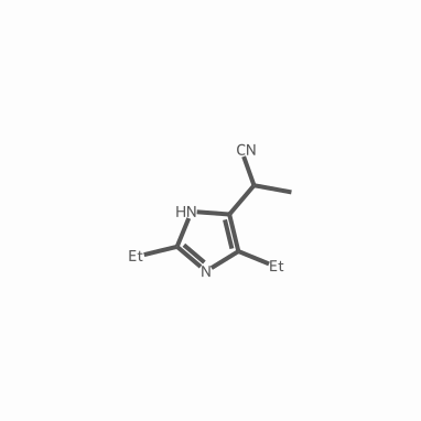 CCc1nc(CC)c(C(C)C#N)[nH]1